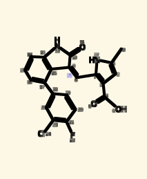 Cc1cc(C(=O)O)c(/C=C2\C(=O)Nc3cccc(-c4ccc(F)c(Cl)c4)c32)[nH]1